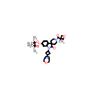 CC1(C(=O)N2CCC3(CC2)C(=O)N(C2CC(N4C5CCC4COC5)C2)c2cc(B4OC(C)(C)C(C)(C)O4)ccc23)COC1